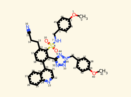 COc1ccc(CNS(=O)(=O)c2c(CCC#N)ccc(-c3ccnc4ccccc34)c2-c2nnn(Cc3ccc(OC)cc3)n2)cc1